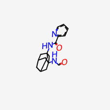 O=CNC12CC3CC(C1)CC(NC(=O)c1ccccn1)(C3)C2